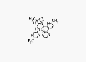 Cc1ccc(-c2ncccn2)c(C(=O)N2C3CC(C3)[C@@H](C)C2CNc2cnc(C(F)(F)F)cn2)n1